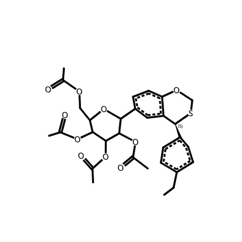 CCc1ccc([C@@H]2SCOc3ccc(C4OC(COC(C)=O)C(OC(C)=O)C(OC(C)=O)C4OC(C)=O)cc32)cc1